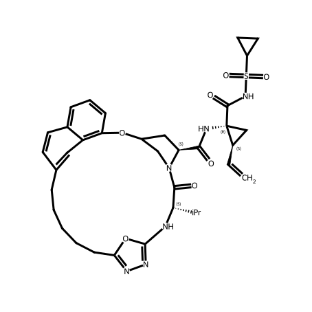 C=C[C@@H]1C[C@]1(NC(=O)[C@@H]1CC2CN1C(=O)[C@H](C(C)C)Nc1nnc(o1)CCCCCc1ccc3cccc(c3c1)O2)C(=O)NS(=O)(=O)C1CC1